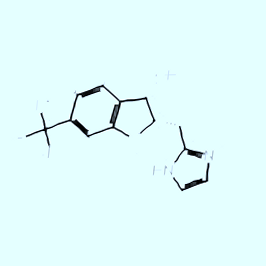 O[C@H]1c2ccc(C(F)(F)F)cc2S[C@H]1Cc1ncc[nH]1